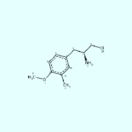 COc1ccc(C[C@H](N)CCl)cc1C